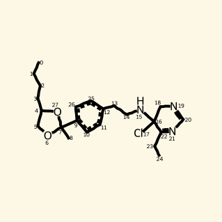 CCCCC1COC(C)(c2ccc(CCNC3(Cl)CN=CN=C3CC)cc2)O1